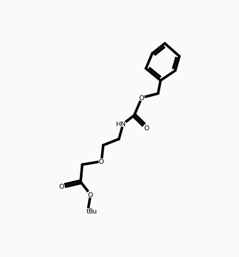 CC(C)(C)OC(=O)COCCNC(=O)OCc1ccccc1